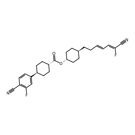 N#CC(F)=CC=CCC[C@H]1CC[C@H](OC(=O)[C@H]2CC[C@H](c3ccc(C#N)c(F)c3)CC2)CC1